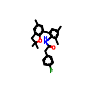 Cc1cc(C)c(NC(=O)Cc2ccc(F)cc2)c(-c2cc(C)cc3c2OC(C)(C)C3)c1